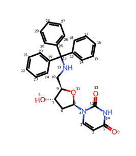 O=c1ccn([C@H]2C[C@H](O)[C@@H](CNC(c3ccccc3)(c3ccccc3)c3ccccc3)O2)c(=O)[nH]1